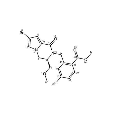 COC[C@H]1Cn2cc(Br)cc2C(=O)N1Cc1cc(F)ccc1C(=O)OC